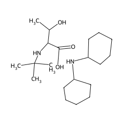 C1CCC(NC2CCCCC2)CC1.CC(O)C(NC(C)(C)C)C(=O)O